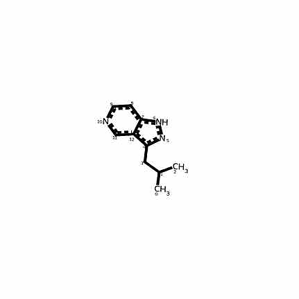 CC(C)Cc1n[nH]c2ccncc12